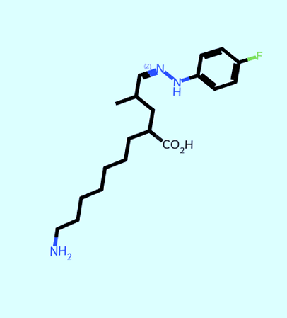 CC(/C=N\Nc1ccc(F)cc1)CC(CCCCCCCN)C(=O)O